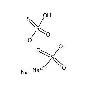 O=S(=O)([O-])[O-].O=S(O)(O)=S.[Na+].[Na+]